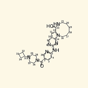 O=C(c1ccc(Nc2ncc3cc4n(c3n2)CCCCCCNC4O)nc1)N1CCN(C2CCC2)CC1